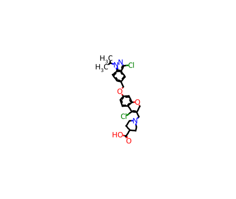 CC(C)n1nc(Cl)c2cc(COc3ccc4c(c3)OCC(CN3CCC(C(=O)O)CC3)=C4Cl)ccc21